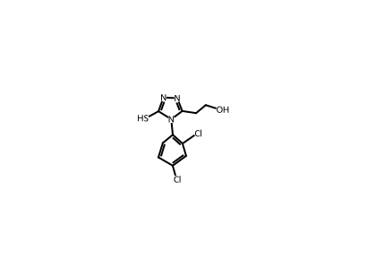 OCCc1nnc(S)n1-c1ccc(Cl)cc1Cl